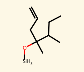 C=CCC(C)(O[SiH3])C(C)CC